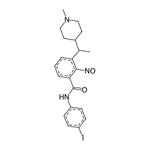 CC(c1cccc(C(=O)Nc2ccc(I)cc2)c1N=O)C1CCN(C)CC1